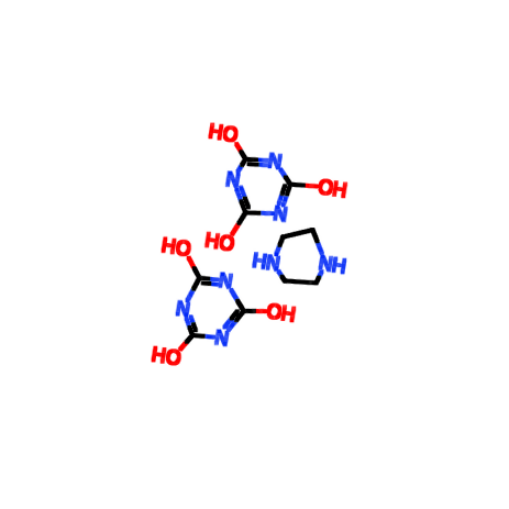 C1CNCCN1.Oc1nc(O)nc(O)n1.Oc1nc(O)nc(O)n1